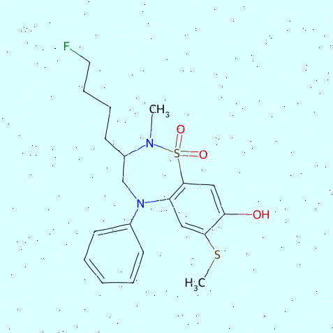 CSc1cc2c(cc1O)S(=O)(=O)N(C)C(CCCCF)CN2c1ccccc1